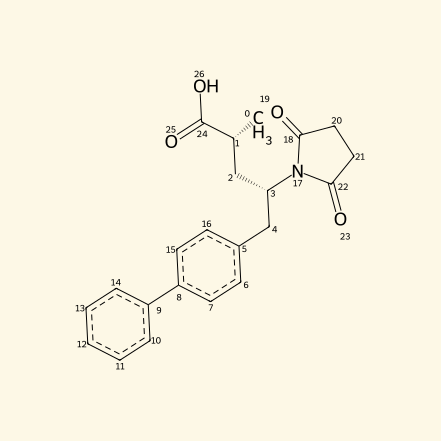 C[C@H](C[C@@H](Cc1ccc(-c2ccccc2)cc1)N1C(=O)CCC1=O)C(=O)O